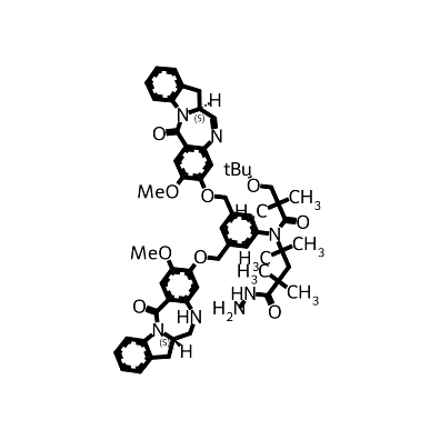 COc1cc2c(cc1OCc1cc(COc3cc4c(cc3OC)C(=O)N3c5ccccc5C[C@H]3CN4)cc(N(C(=O)C(C)(C)COC(C)(C)C)C(C)(C)CC(C)(C)C(=O)NN)c1)N=C[C@@H]1Cc3ccccc3N1C2=O